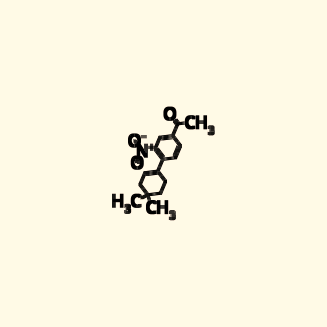 CC(=O)c1ccc(C2=CCC(C)(C)CC2)c([N+](=O)[O-])c1